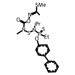 CCP(=S)(Oc1ccc(-c2ccccc2)cc1)N(SN(C)C(=O)ON=C(C)SC)C(C)C